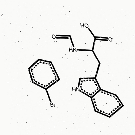 Brc1ccccc1.O=CNC(Cc1c[nH]c2ccccc12)C(=O)O